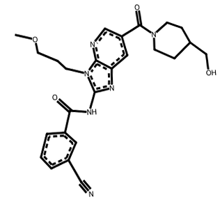 COCCCn1c(NC(=O)c2cccc(C#N)c2)nc2cc(C(=O)N3CCC(CO)CC3)cnc21